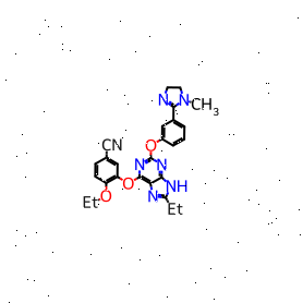 CCOc1ccc(C#N)cc1Oc1nc(Oc2cccc(C3=NCCN3C)c2)nc2[nH]c(CC)nc12